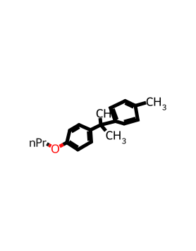 CCCOc1ccc(C(C)(C)c2ccc(C)cc2)cc1